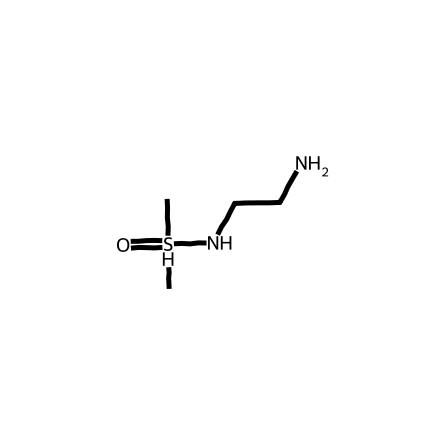 C[SH](C)(=O)NCCN